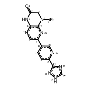 CC(C)N1CC(=O)Nc2ncc(-c3ccc(-c4nc[nH]n4)nc3)nc21